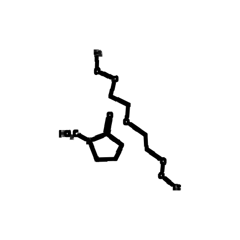 CCOOCCOCCOOCC.O=C(O)N1CCCC1=O